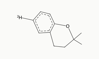 [2H]c1ccc2c(c1)CCC(C)(C)O2